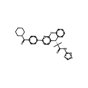 CC(C)(C(=O)Nc1nncs1)[C@H]1c2ccccc2Oc2nc(-c3ccc(C(=O)N4CCCCC4)cc3)ccc21